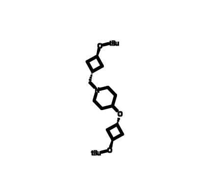 CC(C)(C)O[C@H]1C[C@H](CN2CCC(O[C@H]3C[C@H](OC(C)(C)C)C3)CC2)C1